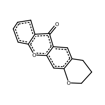 O=c1c2ccccc2oc2cc3c(cc12)CCCO3